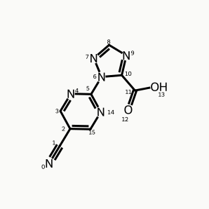 N#Cc1cnc(-n2ncnc2C(=O)O)nc1